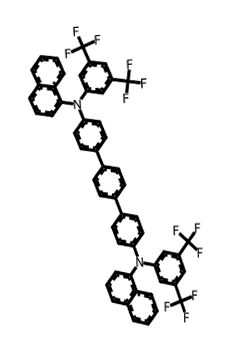 FC(F)(F)c1cc(N(c2ccc(-c3ccc(-c4ccc(N(c5cc(C(F)(F)F)cc(C(F)(F)F)c5)c5cccc6ccccc56)cc4)cc3)cc2)c2cccc3ccccc23)cc(C(F)(F)F)c1